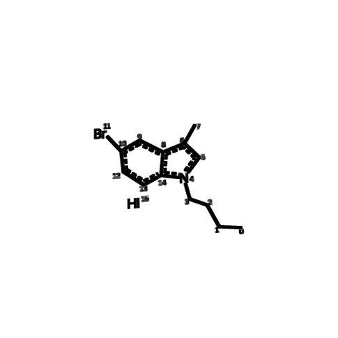 CCCCn1cc(C)c2cc(Br)ccc21.I